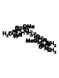 C=C1C[C@H]2C=Nc3cc(OCCCCCOc4cc5c(cc4OC)C(=O)N4CC(=C)C[C@@]4(N)C=N5)c(OC)cc3C(=O)N2C1